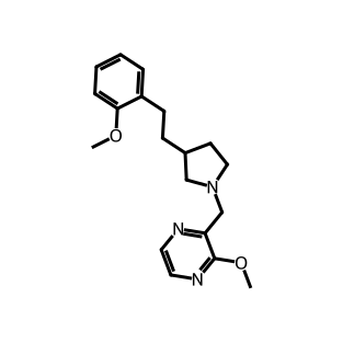 COc1ccccc1CCC1CCN(Cc2nccnc2OC)C1